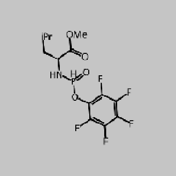 COC(=O)[C@H](CC(C)C)N[PH](=O)Oc1c(F)c(F)c(F)c(F)c1F